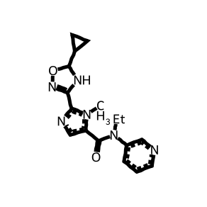 CCN(C(=O)c1cnc(C2=NOC(C3CC3)N2)n1C)c1cccnc1